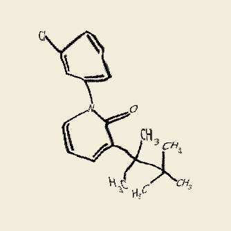 CC(C)(C)C(C)(C)c1cccn(-c2cccc(Cl)c2)c1=O